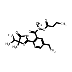 CCCC(=O)ON(C)C(=O)c1cc(CC)cnc1C1=NC(C)(C(C)C)C(=O)N1